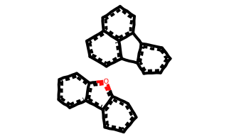 c1ccc2c(c1)-c1cccc3cccc-2c13.c1ccc2c(c1)oc1ccccc12